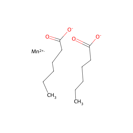 CCCCCC(=O)[O-].CCCCCC(=O)[O-].[Mn+2]